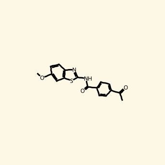 COc1ccc2nc(NC(=O)c3ccc(C(C)=O)cc3)sc2c1